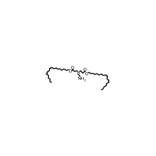 CCCCC/C=C\C/C=C\CCCCCCCCOC(=O)CCN(CCN)CCC(=O)OCCCCCCCC/C=C\C/C=C\CCCCC